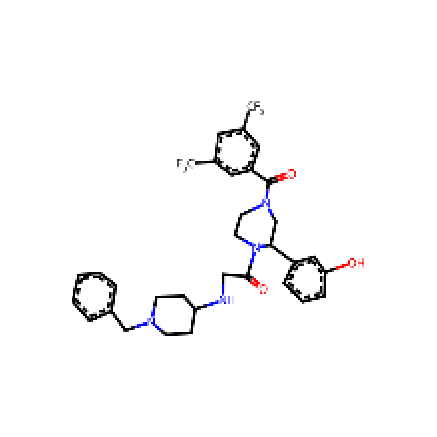 O=C(c1cc(C(F)(F)F)cc(C(F)(F)F)c1)N1CCN(C(=O)CNC2CCN(Cc3ccccc3)CC2)C(c2cccc(O)c2)C1